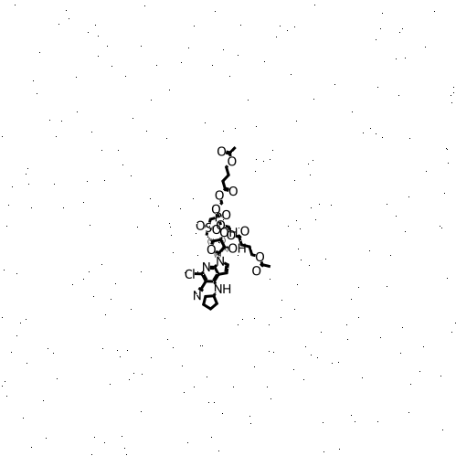 CC(=O)OCCCC(=O)OCOP(=O)(CS(=O)(=O)C[C@H]1O[C@@H](n2ccc3c(NC4CCCC4)c(C#N)c(Cl)nc32)[C@H](O)[C@@H]1O)OCOC(=O)CCCOC(C)=O